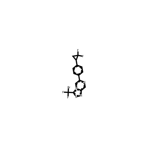 FC(F)(Br)c1nnc2cnc(-c3ccc(C4CC4(F)F)cc3)cn12